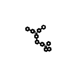 C1=CC(c2ccc(N(c3ccc(-c4ccccc4)cc3)c3ccc(-c4cccc(-c5ccc(N(c6ccccc6)c6cccc7ccccc67)cc5)c4)cc3)cc2)=CCC1